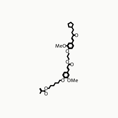 C=C(C)C(=O)OCCCCCCOc1ccc(/C=C/C(=O)OCCCOc2ccc(/C=C/C(=O)CCC3CCCC3)cc2OC)cc1OC